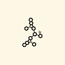 Brc1ccccc1-c1cc(-c2ccc3c4cc5ccccc5cc4n(-c4ccccc4)c3c2)cc(-c2ccc3c4cc5ccccc5cc4n(-c4ccccc4)c3c2)c1